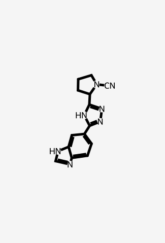 N#CN1CCCC1c1nnc(-c2ccc3nc[nH]c3c2)[nH]1